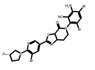 N#Cc1c(N)c(Br)cc(Br)c1N1CCC2N=C(c3cnc(N4CC[C@H](F)C4)c(Br)c3)SC2C1=O